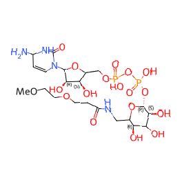 COCCOCCC(=O)NCC1O[C@H](OP(=O)(O)OP(=O)(O)OCC2OC(N3C=CC(N)NC3=O)[C@H](O)[C@@H]2O)[C@@H](O)C(O)[C@H]1O